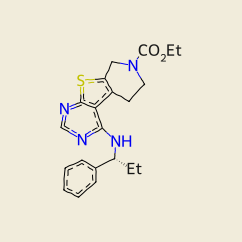 CCOC(=O)N1CCc2c(sc3ncnc(N[C@H](CC)c4ccccc4)c23)C1